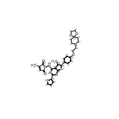 CC1=CC(=O)N(Nc2nc(-c3cccs3)nc3sc(-c4ccc(OCCN5CCC6(CC5)OCCO6)cc4)c(C)c23)C1=O